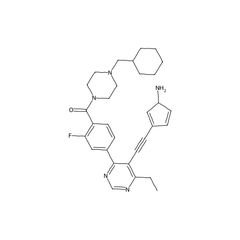 CCc1ncnc(-c2ccc(C(=O)N3CCN(CC4CCCCC4)CC3)c(F)c2)c1C#CC1=CC(N)C=C1